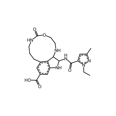 CCn1nc(C)cc1C(=O)NC1Nc2cc(C(=O)O)cc3c2C1NCCOC(=O)NCCC3